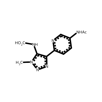 CC(=O)Nc1ccc(-c2nnn(C)c2NC(=O)O)nc1